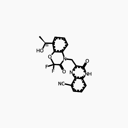 C[C@H](O)c1cccc2c1OC(F)(F)C(=O)N2Cc1nc2c(C#N)cccc2[nH]c1=O